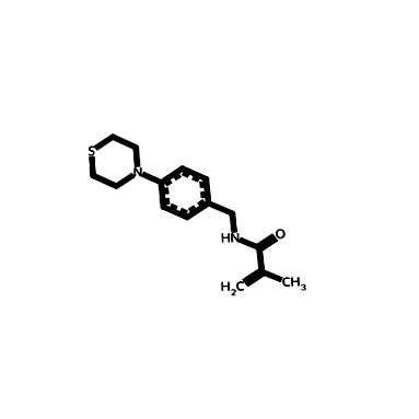 C=C(C)C(=O)NCc1ccc(N2CCSCC2)cc1